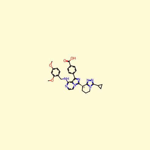 COc1ccc(CNc2nccn3c([C@@H]4CCCn5c(C6CC6)nnc54)nc(-c4ccc(C(=O)O)cc4)c23)c(OC)c1